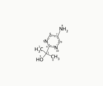 CC(C)(O)c1ncc(N)cn1